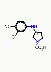 N#Cc1ccc(N[C@H]2CCN(C(=O)O)C2)cc1Cl